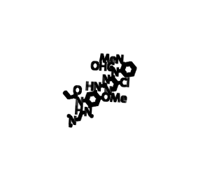 C=CC(=O)Nc1cc(Nc2ncc(Cl)c(N(C=O)c3ccccc3NC)n2)c(OC)cc1N(C)CCN(C)C